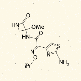 COC1(NC(=O)/C(=N/OC(C)C)c2csc(N)n2)CNC1=O